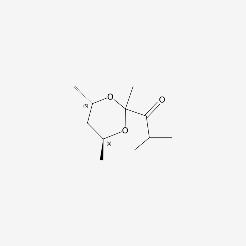 CC(C)C(=O)C1(C)O[C@@H](C)C[C@H](C)O1